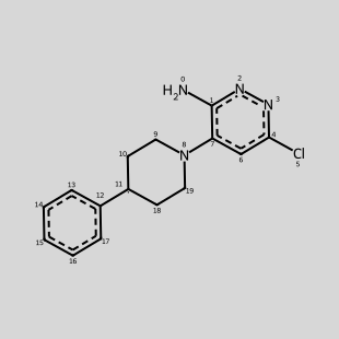 Nc1nnc(Cl)cc1N1CC[C](c2ccccc2)CC1